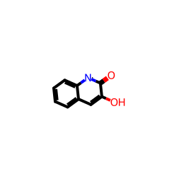 O=C1[N]c2ccccc2C=C1O